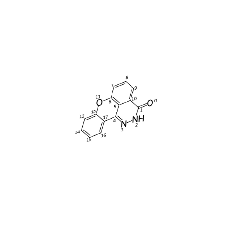 O=c1[nH]nc2c3c(cccc13)Oc1ccccc1-2